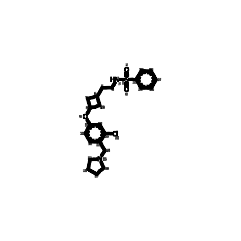 O=S(=O)(NCCC1CC(Oc2ccc(CN3CCCC3)c(Cl)c2)C1)c1ccccc1